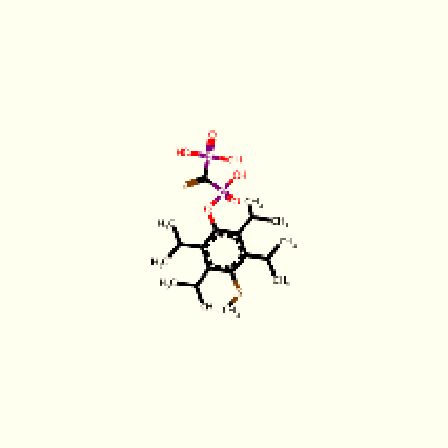 CSc1c(C(C)C)c(C(C)C)c(OP(=O)(O)C(=S)P(=O)(O)O)c(C(C)C)c1C(C)C